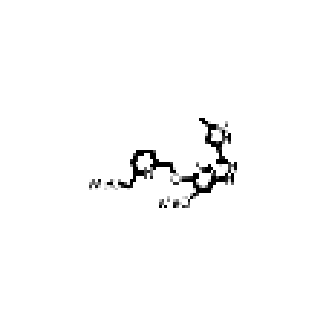 COCc1cccc(COc2nn3c(-c4cc(C)on4)nnc3cc2OC)n1